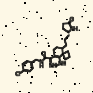 CNC1=C(C(=N)C(=O)NCc2ccc(Cl)cc2)CCC(CCC[C@@H]2CCC(=O)N2)C12CCC2